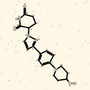 O=CC1CCN(c2ccc(-c3ccn(C4CCC(=O)NC4=O)n3)cc2)CC1